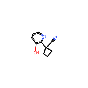 N#CC1(c2ncccc2O)CCC1